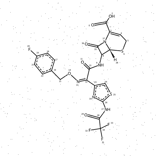 O=C(O)C1=CCS[C@@H]2C(NC(=O)/C(=N\OCc3ccc(F)cc3)c3csc(NC(=O)C(F)(F)F)n3)C(=O)N12